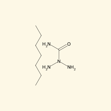 CCCCCCC.NC(=O)N(N)N